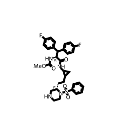 COC(=O)N[C@H](C(=O)NC1CC1CC[C@H]1CNCCN1S(=O)(=O)c1ccccc1)C(c1ccc(F)cc1)c1ccc(F)cc1